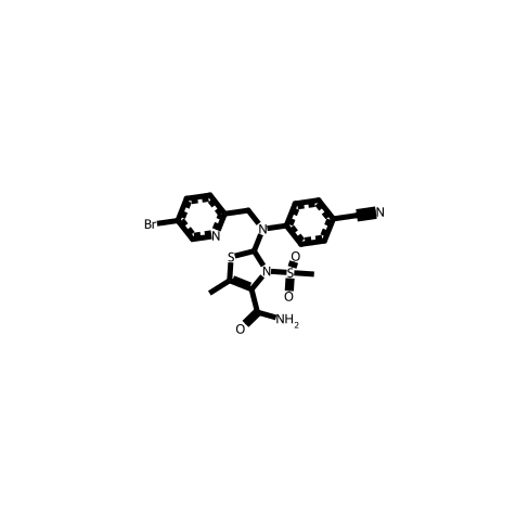 CC1=C(C(N)=O)N(S(C)(=O)=O)C(N(Cc2ccc(Br)cn2)c2ccc(C#N)cc2)S1